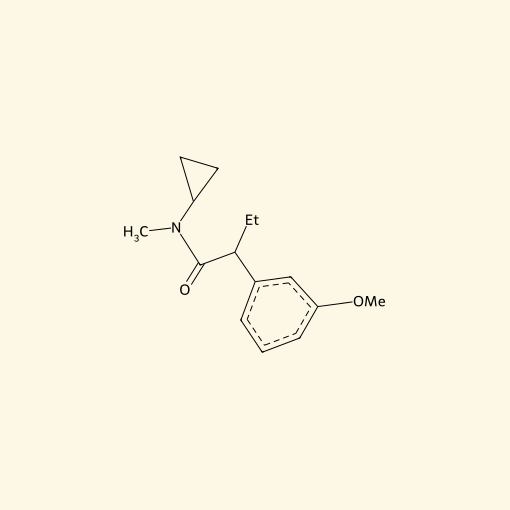 CCC(C(=O)N(C)C1CC1)c1cccc(OC)c1